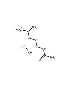 NC(=O)NCCC[C@H](N)C(=O)O.O=C(O)O